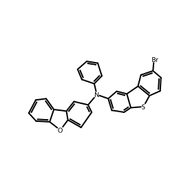 Brc1ccc2sc3ccc(N(c4ccccc4)c4ccc5oc6ccccc6c5c4)cc3c2c1